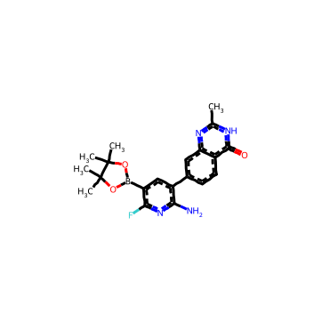 Cc1nc2cc(-c3cc(B4OC(C)(C)C(C)(C)O4)c(F)nc3N)ccc2c(=O)[nH]1